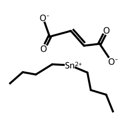 CCC[CH2][Sn+2][CH2]CCC.O=C([O-])/C=C/C(=O)[O-]